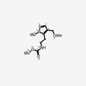 COCc1cnn(C(C)(C)C)c1CCNC(=O)OC(C)(C)C